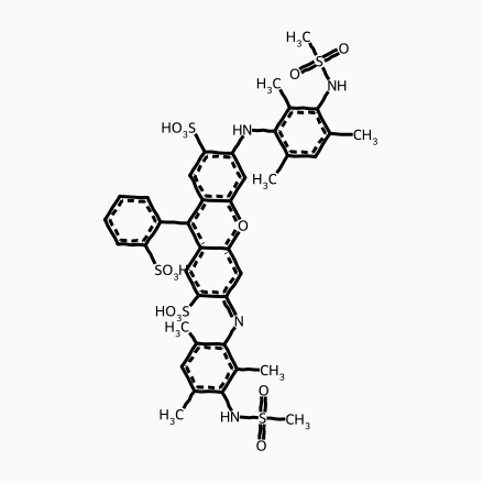 Cc1cc(C)c(NS(C)(=O)=O)c(C)c1/N=c1/cc2oc3cc(Nc4c(C)cc(C)c(NS(C)(=O)=O)c4C)c(S(=O)(=O)O)cc3c(-c3ccccc3S(=O)(=O)O)c-2cc1S(=O)(=O)O